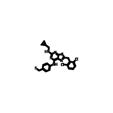 FCc1ccc(Nc2nc(NCC3CC3)nc3sc(Cc4c(Cl)cccc4Cl)nc23)cc1